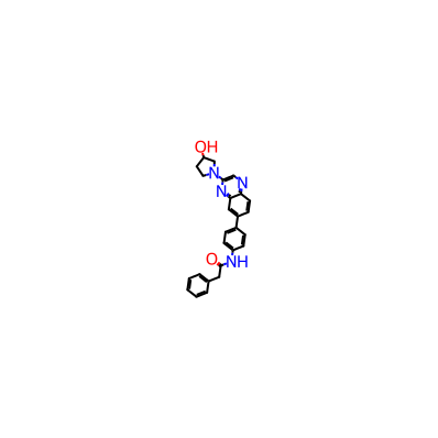 O=C(Cc1ccccc1)Nc1ccc(-c2ccc3ncc(N4CCC(O)C4)nc3c2)cc1